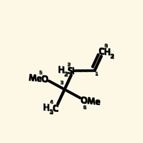 C=C[SiH2]C(C)(OC)OC